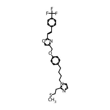 CSCCc1nccn1CCCCc1ccc(OCc2coc(C=Cc3ccc(C(F)(F)F)cc3)n2)cc1